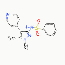 CCn1nc(NS(=O)(=O)c2ccccc2)c(-c2ccncc2)c1C(F)(F)F